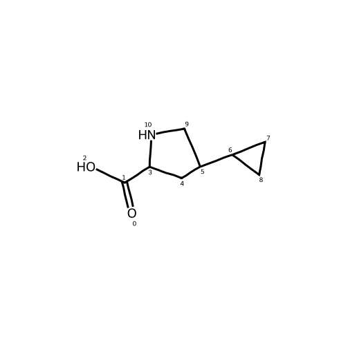 O=C(O)C1CC(C2CC2)CN1